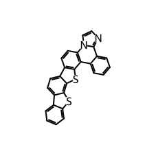 c1ccc2c(c1)sc1c2ccc2c3ccc4c(c5ccccc5c5nccn45)c3sc21